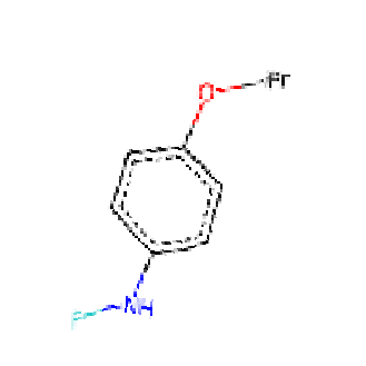 CC(C)Oc1ccc(NF)cc1